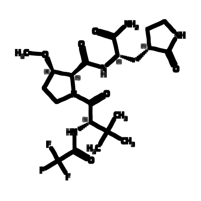 CO[C@@H]1CCN(C(=O)[C@@H](NC(=O)C(F)(F)F)C(C)(C)C)[C@@H]1C(=O)N[C@@H](C[C@@H]1CCNC1=O)C(N)=O